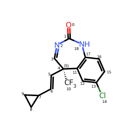 O=C1N=C[C@@](C=CC2CC2)(C(F)(F)F)c2cc(Cl)ccc2N1